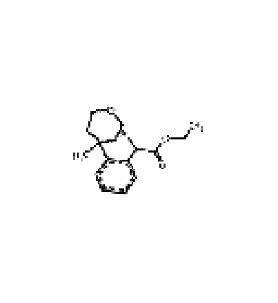 CCOC(=O)C(Br)c1ccccc1C1(C)CCOCC1